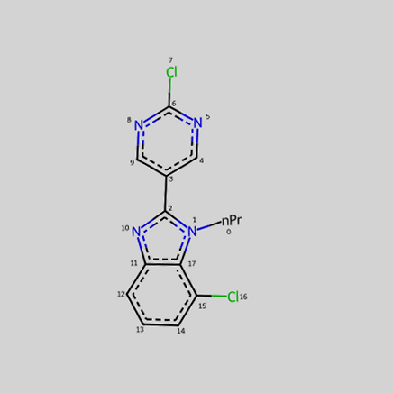 CCCn1c(-c2cnc(Cl)nc2)nc2cccc(Cl)c21